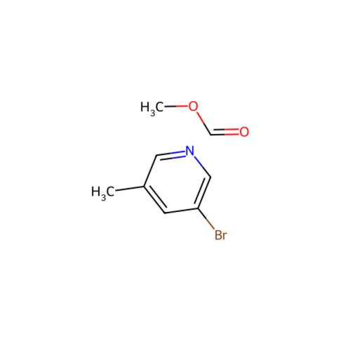 COC=O.Cc1cncc(Br)c1